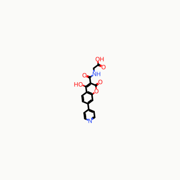 O=C(O)CNC(=O)c1c(O)c2ccc(-c3ccncc3)cc2oc1=O